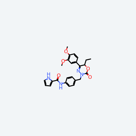 CCC1OC(=O)N(Cc2ccc(NC(=O)c3ccc[nH]3)cc2)N=C1c1ccc(OC)c(OC)c1